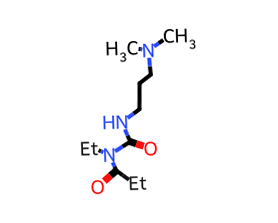 CCC(=O)N(CC)C(=O)NCCCN(C)C